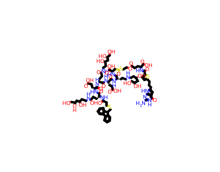 Nc1nc2[nH]c(CCCc3ccc(C(=O)NC(CCC(=O)OCCSSCC(NC(=O)[C@H](CCCNCC[C@@H](O)C[C@H](O)CO)NC(=O)[C@H](CCC(=O)O)NC(=O)[C@H](CCC(=O)NCC[C@@H](O)C[C@H](O)CO)NC(=O)[C@H](CCC(=O)O)NC(=O)[C@H](CCC(O)NCC[C@@H](O)C[C@H](O)CO)NC(=O)CCSCC4c5ccccc5-c5ccccc54)C(=O)O)C(=O)O)s3)cc2c(=O)[nH]1